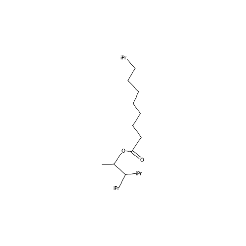 CC(C)CCCCCCCC(=O)OC(C)C(C(C)C)C(C)C